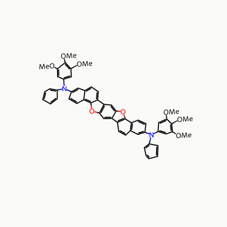 COc1cc(N(c2ccccc2)c2ccc3c(ccc4c5cc6oc7c8ccc(N(c9ccccc9)c9cc(OC)c(OC)c(OC)c9)cc8ccc7c6cc5oc34)c2)cc(OC)c1OC